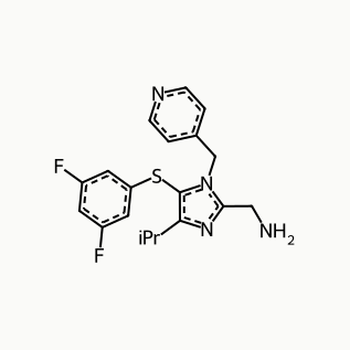 CC(C)c1nc(CN)n(Cc2ccncc2)c1Sc1cc(F)cc(F)c1